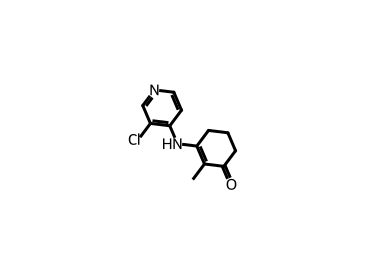 CC1=C(Nc2ccncc2Cl)CCCC1=O